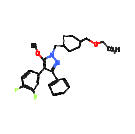 CCOc1c(-c2ccc(F)c(F)c2)c(-c2ccccc2)nn1CC1CCC(COCC(=O)O)CC1